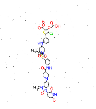 Cn1c(=O)n(C2CCC(=O)NC2=O)c2ccc(N3CCC(C(=O)Nc4cccc(CS(=O)(=O)N5CC[C@H](Nc6cccc(-c7sc(C(=O)O)c(OCC(=O)O)c7Cl)c6)CC5(C)C)c4)CC3)cc21